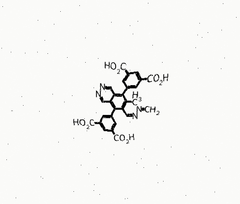 C=N/N=C\c1c(C)c(-c2cc(C(=O)O)cc(C(=O)O)c2)c2cnncc2c1-c1cc(C(=O)O)cc(C(=O)O)c1